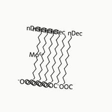 CCCCCCCCCCCCCCCCCCCCCC(=O)[O-].CCCCCCCCCCCCCCCCCCCCCC(=O)[O-].CCCCCCCCCCCCCCCCCCCCCC(=O)[O-].CCCCCCCCCCCCCCCCCCCCCC(=O)[O-].CCCCCCCCCCCCCCCCCCCCCC(=O)[O-].CCCCCCCCCCCCCCCCCCCCCC(=O)[O-].[Mo+6]